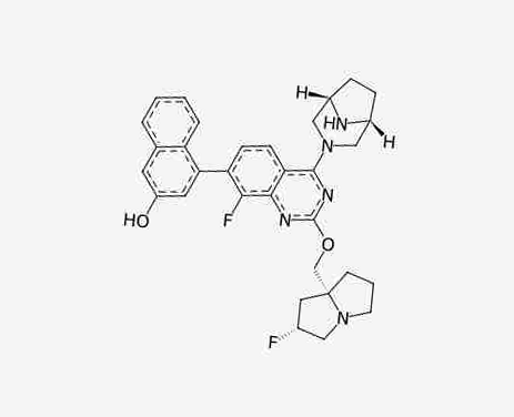 Oc1cc(-c2ccc3c(N4C[C@H]5CC[C@@H](C4)N5)nc(OC[C@]45CCCN4C[C@H](F)C5)nc3c2F)c2ccccc2c1